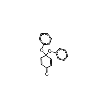 O=C1C=CC(Oc2ccccc2)(Oc2ccccc2)C=C1